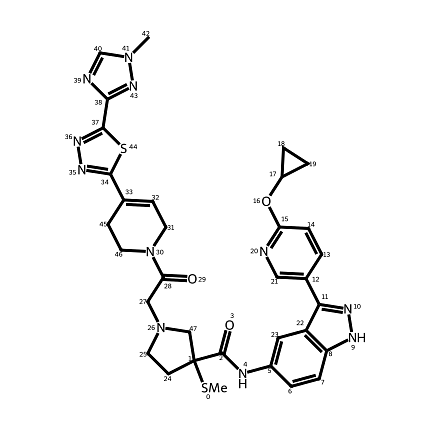 CSC1(C(=O)Nc2ccc3[nH]nc(-c4ccc(OC5CC5)nc4)c3c2)CCN(CC(=O)N2CC=C(c3nnc(-c4ncn(C)n4)s3)CC2)C1